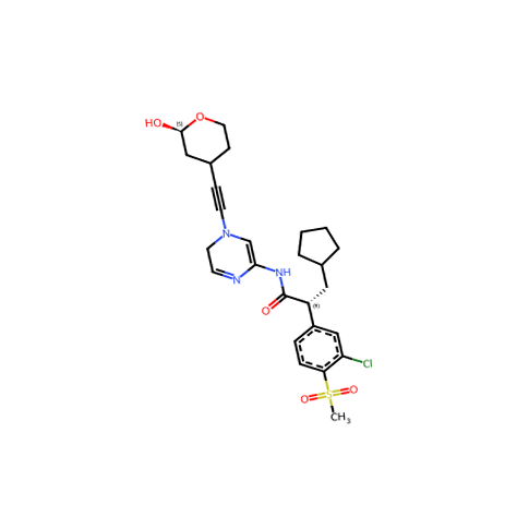 CS(=O)(=O)c1ccc([C@@H](CC2CCCC2)C(=O)NC2=CN(C#CC3CCO[C@H](O)C3)CC=N2)cc1Cl